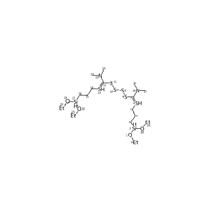 CCO[SiH](CCC[SH]=C(SSSSC(=[SH]CCC[SiH](OCC)OCC)N(C)C)N(C)C)OCC